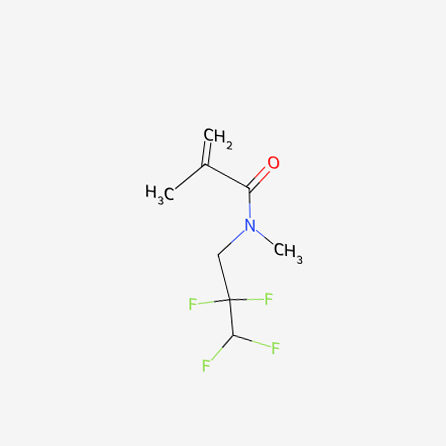 C=C(C)C(=O)N(C)CC(F)(F)C(F)F